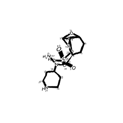 NN(C(=O)[C@@H]1CCC23CN1C(O2)N3OS(=O)(=O)O)C1CCNCC1